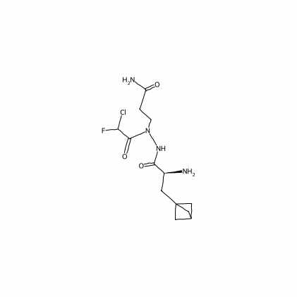 NC(=O)CCN(NC(=O)[C@@H](N)CC12CC(C1)C2)C(=O)C(F)Cl